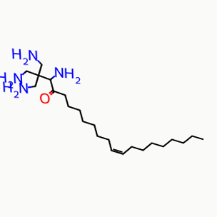 CCCCCCCC/C=C\CCCCCCCC(=O)C(N)C(CN)(CN)CN